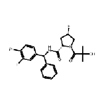 CC(C)c1ccc([C@@H](NC(=O)[C@@H]2C[C@@H](F)CN2C(=O)C(C)(C)O)c2ccccc2)cc1F